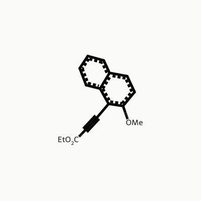 CCOC(=O)C#Cc1c(OC)ccc2ccccc12